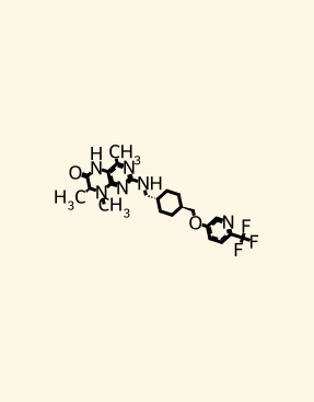 Cc1nc(NC[C@H]2CC[C@H](COc3ccc(C(F)(F)F)nc3)CC2)nc2c1NC(=O)[C@H](C)N2C